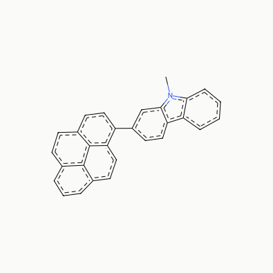 Cn1c2ccccc2c2ccc(-c3ccc4ccc5cccc6ccc3c4c56)cc21